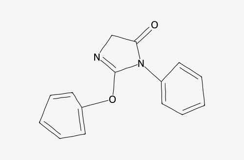 O=C1CN=C(Oc2ccccc2)N1c1ccccc1